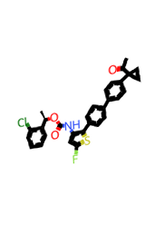 CC(=O)C1(c2ccc(-c3ccc(-c4sc(F)cc4NC(=O)O[C@H](C)c4ccccc4Cl)cc3)cc2)CC1